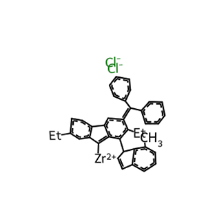 CCc1ccc2c(c1)[C]([Zr+2])=c1c-2cc(=C(c2ccccc2)c2ccccc2)c(CC)c1C1C=Cc2cccc(C)c21.[Cl-].[Cl-]